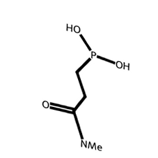 CNC(=O)CCP(O)O